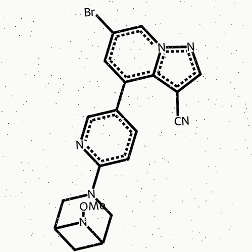 CON1C2CC1CN(c1ccc(-c3cc(Br)cn4ncc(C#N)c34)cn1)C2